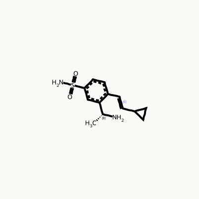 C[C@@H](N)c1cc(S(N)(=O)=O)ccc1/C=C/C1CC1